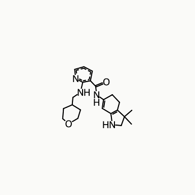 CC1(C)CNC2=C1CCC(NC(=O)c1cccnc1NCC1CCOCC1)=C2